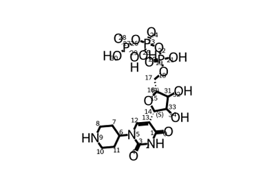 O=c1[nH]c(=O)n(C2CCNCC2)cc1[C@@H]1O[C@H](COP(=O)(O)OP(=O)(O)OP(=O)(O)O)C(O)C1O